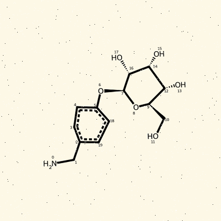 NCc1ccc(O[C@@H]2O[C@H](CO)[C@@H](O)[C@@H](O)[C@H]2O)cc1